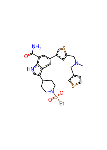 CCS(=O)(=O)N1CCC(c2c[nH]c3c(C(N)=O)cc(-c4csc(CN(C)Cc5ccsc5)c4)cc23)CC1